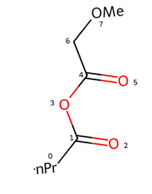 CC[CH]C(=O)OC(=O)COC